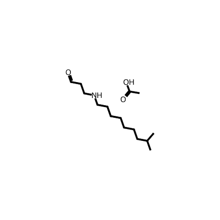 CC(=O)O.CC(C)CCCCCCCNCCC=O